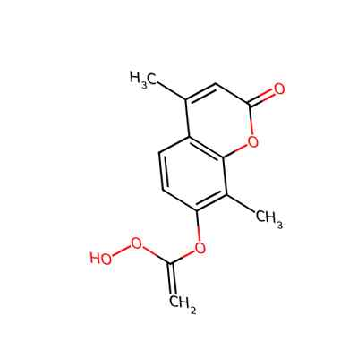 C=C(OO)Oc1ccc2c(C)cc(=O)oc2c1C